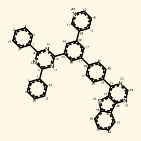 c1ccc(-c2nc(-c3ccccc3)nc(-c3cc(-c4ccc(-c5ncnc6c5sc5ccccc56)cc4)cc(-c4cccnc4)c3)n2)cc1